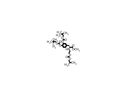 COC(=O)[C@H](Cc1ccc(OC(=O)OCC(C)(C)C)c(OC(=O)OCC(C)(C)C)c1)NCCOC(=O)OCC(C)C